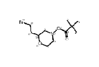 CC(C)(C)C(=O)ON1CCOC(CCBr)C1